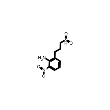 Nc1c(CCC[SH](=O)=O)cccc1[N+](=O)[O-]